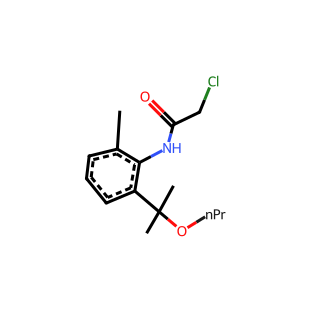 CCCOC(C)(C)c1cccc(C)c1NC(=O)CCl